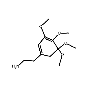 COC1=C(OC)C(OC)(OC)CC(CCN)=C1